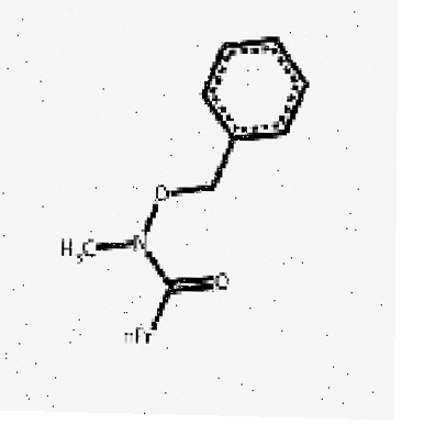 CCCC(=O)N(C)OCc1ccccc1